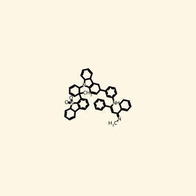 C/N=C(\C=C(/Nc1cccc(C2C=CC3=C(C2)C2C=CC=CC2N3C2C=CC=CC2(C)c2cccc3c2S(=O)(=O)C2C=CC=CC32)c1)c1ccccc1)C1=CC=CCC1